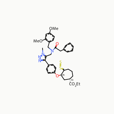 CCOC(=O)[C@H]1CCCC(=S=S)[C@H](Oc2ccc(-c3nnn(C)c3CN(Cc3ccc(OC)cc3OC)C(=O)Cc3ccccc3)cc2)C1